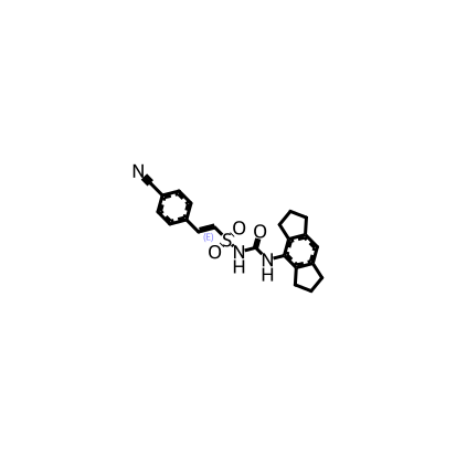 N#Cc1ccc(/C=C/S(=O)(=O)NC(=O)Nc2c3c(cc4c2CCC4)CCC3)cc1